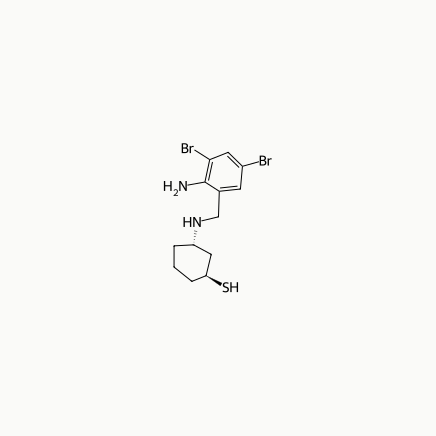 Nc1c(Br)cc(Br)cc1CN[C@H]1CCC[C@H](S)C1